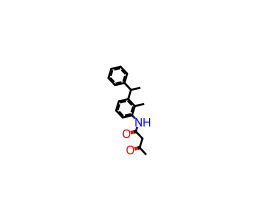 CC(=O)CC(=O)Nc1cccc(C(C)c2ccccc2)c1C